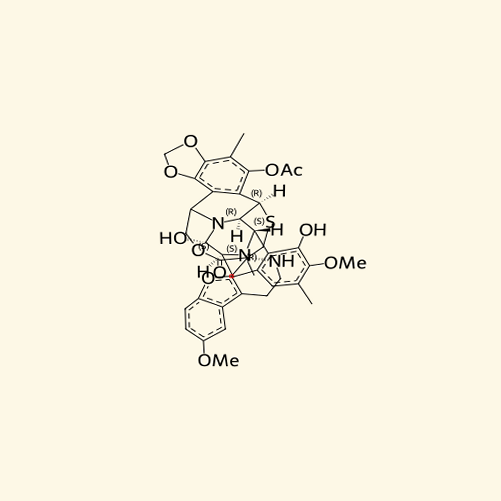 COc1ccc2oc3c(c2c1)CCN[C@]31CS[C@@H]2c3c(OC(C)=O)c(C)c4c(c3C(COC1=O)N1[C@@H]2[C@@H]2c3c(cc(C)c(OC)c3O)C[C@@H]([C@@H]1O)N2C)OCO4